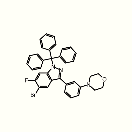 Fc1cc2c(cc1Br)c(-c1cccc(N3CCOCC3)c1)nn2C(c1ccccc1)(c1ccccc1)c1ccccc1